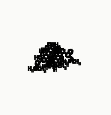 C=[N+](C)c1cccc(-c2cc(N(C)C)c3c(c2O)C(=O)C2=C(O)[C@]4(O)C(=O)C(C(N)=O)=C(O)[C@@H](N(C)OC5=C6C(=O)c7c(O)ccc(-c8ccc(CN(C)C)c9ccccc89)c7C[C@H]6C[C@H]6[C@@H](N(C)C)C(O)=C(C(=O)NC)C(=O)[C@@]56O)[C@@H]4C[C@@H]2C3)c1